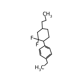 CCCC1CCC(c2ccc(CC)cc2)C(F)(F)C1